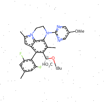 COc1cnc(N2CCn3c(C)cc4c(-c5c(F)cc(C)cc5F)c([C@H](OC(C)(C)C)C(=O)O)c(C)c2c43)nc1